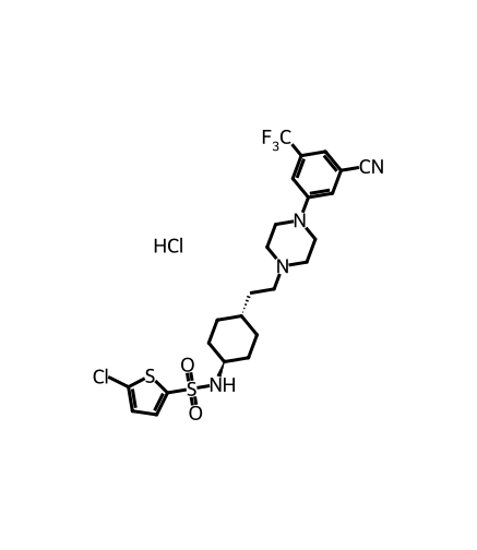 Cl.N#Cc1cc(N2CCN(CC[C@H]3CC[C@H](NS(=O)(=O)c4ccc(Cl)s4)CC3)CC2)cc(C(F)(F)F)c1